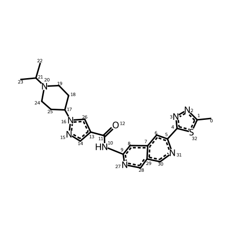 Cc1nnc(-c2cc3cc(NC(=O)c4cnn(C5CCN(C(C)C)CC5)c4)ncc3cn2)s1